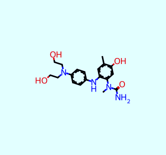 Cc1cc(Nc2ccc(N(CCO)CCO)cc2)c(N(C)C(N)=O)cc1O